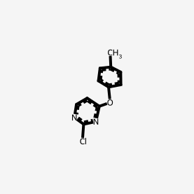 Cc1ccc(Oc2ccnc(Cl)n2)cc1